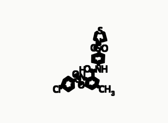 Cc1ccc(NS(=O)(=O)c2ccc(Cl)cc2)c(C(=O)Nc2ccc(S(=O)(=O)N3CCSCC3)cc2)c1